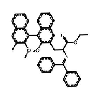 CCOC(=O)C(Cc1cc2ccccc2c(-c2c(OC)c(I)cc3ccccc23)c1OC)N=C(c1ccccc1)c1ccccc1